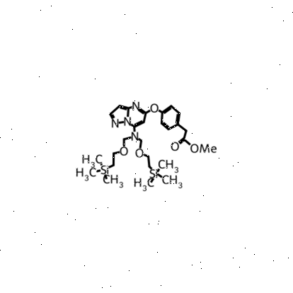 COC(=O)Cc1ccc(Oc2cc(N(COCC[Si](C)(C)C)COCC[Si](C)(C)C)n3nccc3n2)cc1